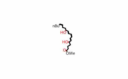 CCCC/C=C\CCC(O)/C=C/C=C\C=C\C(O)CCCC(=O)OC